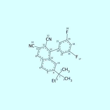 CCC(C)(C)c1ccc2cc(C#N)c(C#N)c(-c3cc(F)cc(F)c3)c2c1